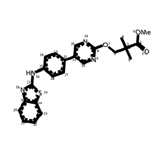 COC(=O)C(C)(C)COc1ncc(-c2ccc(Nc3nc4ccccc4s3)cc2)cn1